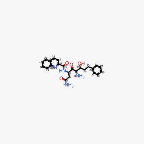 N[C](C(=O)C(CC(N)=O)NC(=O)c1ccc2ccccc2n1)C(O)CCc1ccccc1